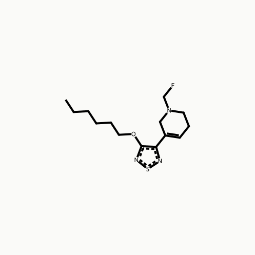 CCCCCCOc1nsnc1C1=CCCN(CF)C1